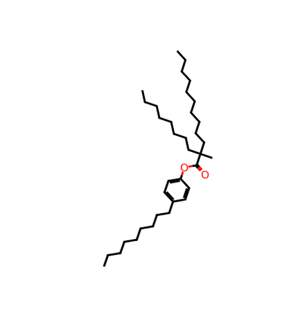 CCCCCCCCCCC(C)(CCCCCCCC)C(=O)Oc1ccc(CCCCCCCCC)cc1